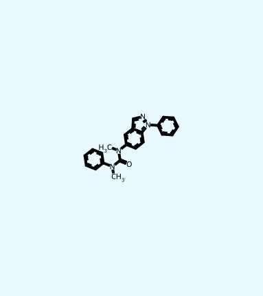 CN(C(=O)N(C)c1ccc2c(cnn2-c2ccccc2)c1)c1ccccc1